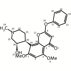 COc1cc(OC)c2c(=O)cc(Oc3ccccc3)oc2c1[C@@H]1CCN(C)C[C@@H]1O